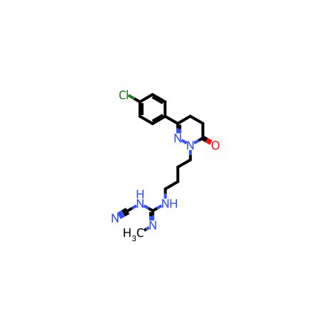 C/N=C(\NC#N)NCCCCN1N=C(c2ccc(Cl)cc2)CCC1=O